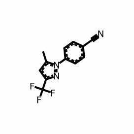 Cc1cc(C(F)(F)F)nn1-c1ccc(C#N)cc1